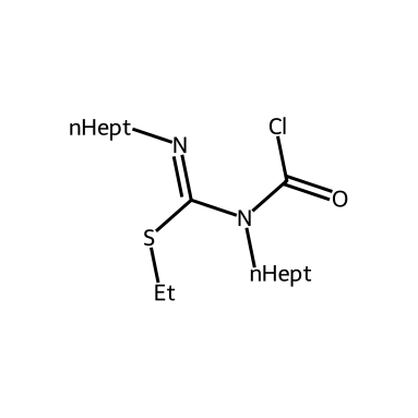 CCCCCCCN=C(SCC)N(CCCCCCC)C(=O)Cl